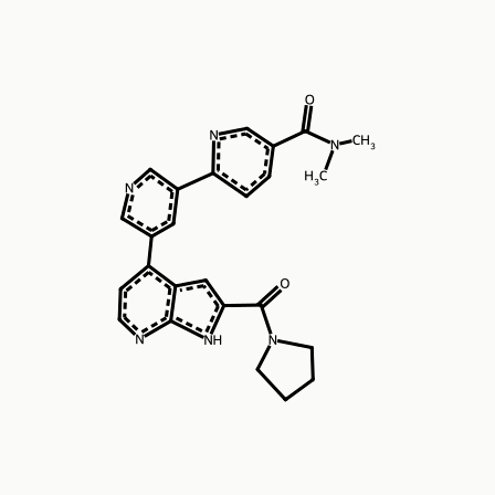 CN(C)C(=O)c1ccc(-c2cncc(-c3ccnc4[nH]c(C(=O)N5CCCC5)cc34)c2)nc1